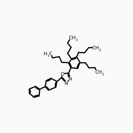 CCCCc1cc(-c2nnc(-c3ccc(-c4ccccc4)cc3)o2)c(CCCC)c(CCCC)c1CCCC